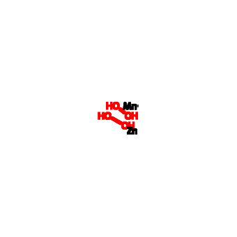 OO.OO.[Mn].[Zn]